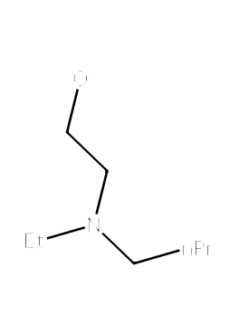 CCCCN(CC)CC[O]